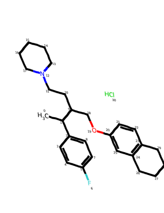 CC(c1ccc(F)cc1)C(CCN1CCCCC1)COc1ccc2c(c1)CCCC2.Cl